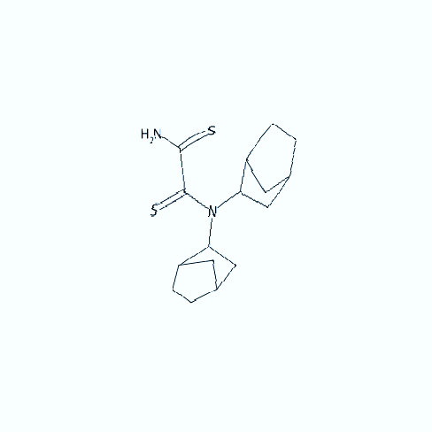 NC(=S)C(=S)N(C1CC2CCC1C2)C1CC2CCC1C2